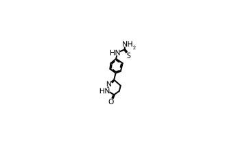 NC(=S)Nc1ccc(C2=NNC(=O)CC2)cc1